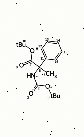 CC(C)(C)OC(=O)NC(C)(C(=O)OC(C)(C)C)c1ccccc1